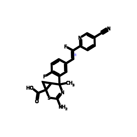 CC1(c2cc(/C=C(\F)c3ccc(C#N)cn3)ccc2F)N=C(N)SC2(C(=O)O)CC21